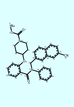 CC(C)(C)OC(=O)N1CCC(Oc2ccncc2C(=O)N(Cc2ccc3ccc(C#N)cc3c2)c2ccccc2)CC1